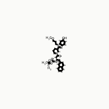 COCCCn1c(C2CCCN(C(=O)C[C@@H](Cc3ccc4ccccc4c3)NC(=O)OC(C)(C)C)C2)nc2ccc(O)cc21